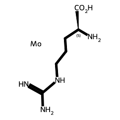 N=C(N)NCCC[C@H](N)C(=O)O.[Mo]